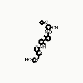 Cc1c(Nc2nccc3cc(CN4CC[C@@H](O)C4)cnc23)cccc1-c1cccc(-c2nc3cc(N(C)C4CCC4)cc(C#N)c3o2)c1C